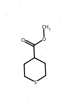 COC(=O)C1CCSCC1